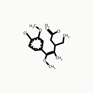 C=C(Cl)CC(CC)/C(C)=C(/OC)c1ccc(Cl)c(OC)c1